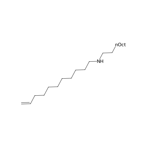 C=CCCCCCCCCCNCCCCCCCCCC